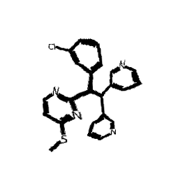 CSc1ccnc(C(c2cccc(Cl)c2)C(c2cccnc2)c2cccnc2)n1